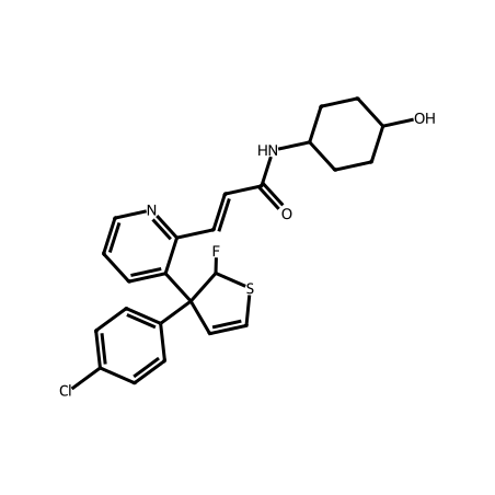 O=C(C=Cc1ncccc1C1(c2ccc(Cl)cc2)C=CSC1F)NC1CCC(O)CC1